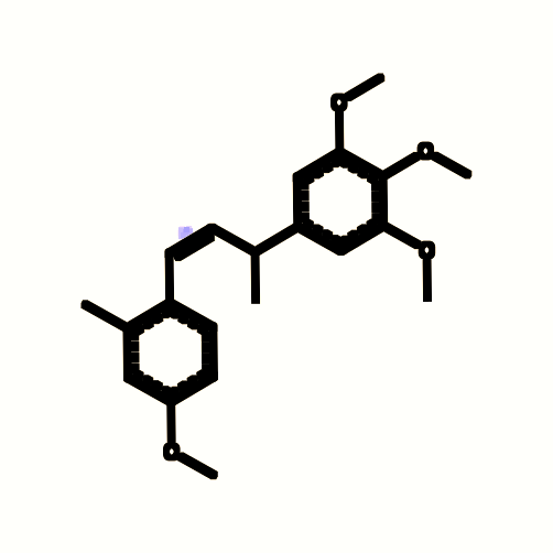 COc1ccc(/C=C\C(C)c2cc(OC)c(OC)c(OC)c2)c(C)c1